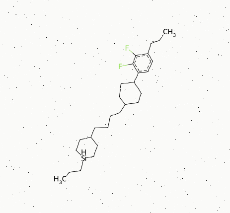 CCCc1ccc(C2CCC(CCCCC3CC[SiH](CCC)CC3)CC2)c(F)c1F